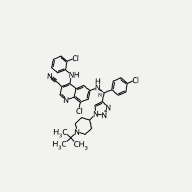 CC(C)(C)N1CCC(n2cc([C@@H](Nc3cc(Cl)c4ncc(C#N)c(Nc5ccccc5Cl)c4c3)c3ccc(Cl)cc3)nn2)CC1